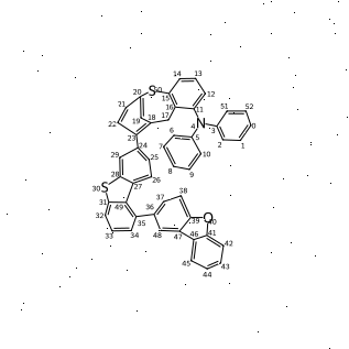 c1ccc(N(c2ccccc2)c2cccc3c2Cc2cc(ccc2-c2ccc4c(c2)sc2cccc(-c5ccc6oc7ccccc7c6c5)c24)S3)cc1